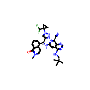 Cn1ccc2c([C@H](Nc3cc4c(NCC(C)(C)C)ncnc4c(C#N)n3)c3cn(C4(C(F)F)CC4)nn3)cccc2c1=O